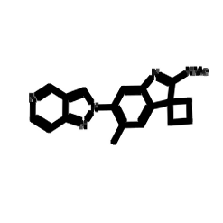 CNC1=Nc2cc(-n3cc4cnccc4n3)c(C)cc2C12CCC2